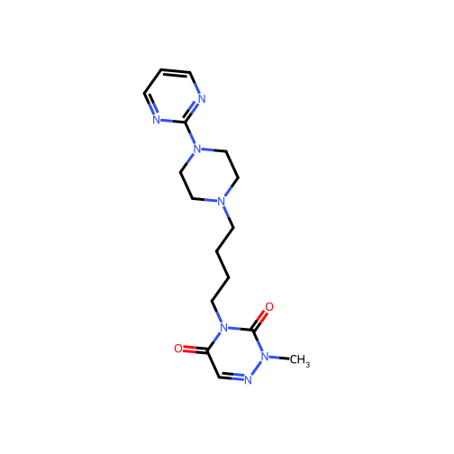 Cn1ncc(=O)n(CCCCN2CCN(c3ncccn3)CC2)c1=O